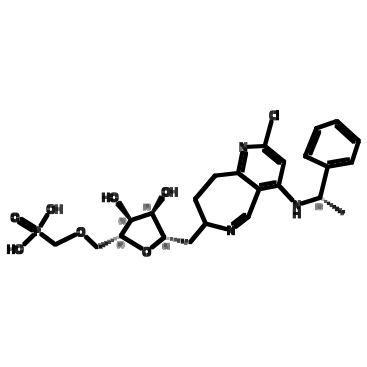 C[C@H](Nc1cc(Cl)nc2c1C=NC(C[C@@H]1O[C@H](COCP(=O)(O)O)[C@@H](O)[C@H]1O)CC2)c1ccccc1